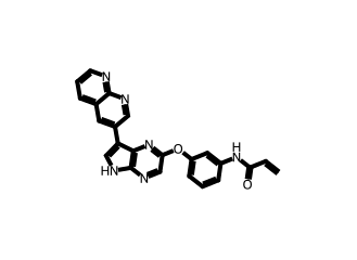 C=CC(=O)Nc1cccc(Oc2cnc3[nH]cc(-c4cnc5ncccc5c4)c3n2)c1